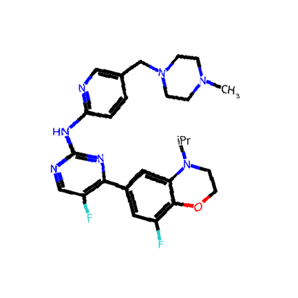 CC(C)N1CCOc2c(F)cc(-c3nc(Nc4ccc(CN5CCN(C)CC5)cn4)ncc3F)cc21